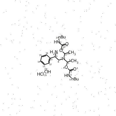 CCCCNC(=O)OC(C)N(CC(N)c1ccccc1)C(C)OC(=O)NCCCC.Cl.Cl